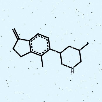 C=C1CCc2c1ccc(C1CNCC(F)C1)c2C